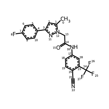 Cc1cc(-c2ccc(F)cc2)nn1CC(=O)Nc1ccc(C#N)c(C(F)(F)F)c1